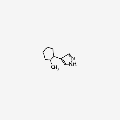 CC1CCCCC1c1cn[nH]c1